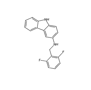 Fc1cccc(F)c1CNc1ccc2[nH]c3ccccc3c2c1